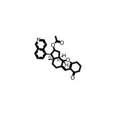 CC(=O)OC1C[C@H]2[C@@H]3OC4=C(C=C3CC[C@]2(C)[C@H]1c1cccc2cnccc12)C(=O)CCC4